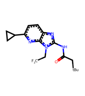 CC(C)(C)CC(=O)Nc1nc2ccc(C3CC3)nc2n1CC(F)(F)F